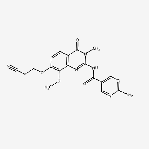 COc1c(OCCC#N)ccc2c(=O)n(C)c(NC(=O)c3cnc(N)nc3)nc12